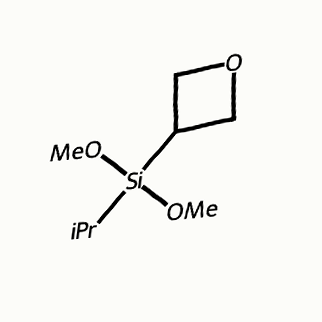 CO[Si](OC)(C(C)C)C1COC1